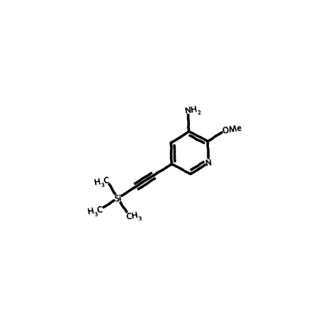 COc1ncc(C#C[Si](C)(C)C)cc1N